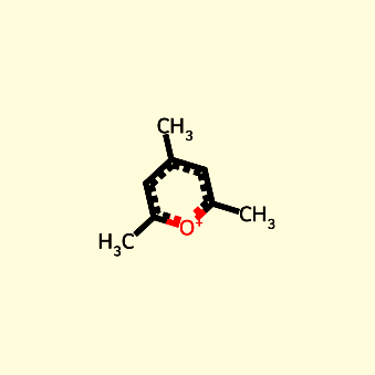 Cc1cc(C)[o+]c(C)c1